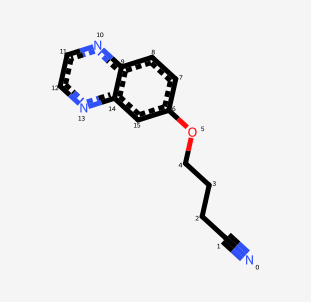 N#CCCCOc1ccc2nccnc2c1